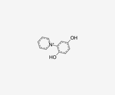 Oc1ccc(O)c(-[n+]2ccccc2)c1